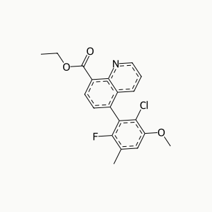 CCOC(=O)c1ccc(-c2c(F)c(C)cc(OC)c2Cl)c2cccnc12